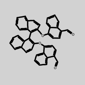 O=Cc1ccc(Oc2ccc3ccccc3c2-c2c(Oc3ccc(C=O)c4ccccc34)ccc3ccccc23)c2ccccc12